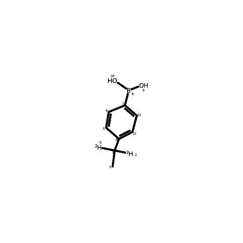 [2H]C([2H])(C)c1ccc(B(O)O)cc1